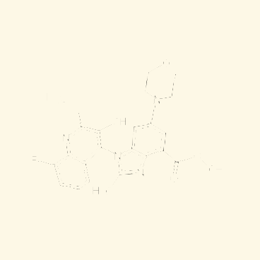 CCc1nc2c(F)cccc2c(-n2c(C)nc3c(C(=O)OC)cc(N4CCOCC4)cc32)c1C